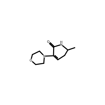 CC1CC=C(N2CCOCC2)C(=O)N1